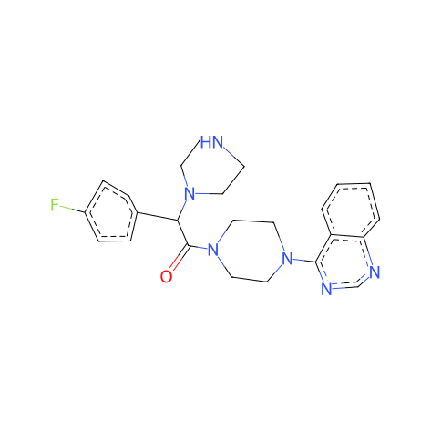 O=C(C(c1ccc(F)cc1)N1CCNCC1)N1CCN(c2ncnc3ccccc23)CC1